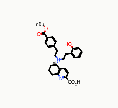 CCCCOC(=O)c1ccc(CCN(CCc2ccccc2O)[C@H]2CCCc3nc(C(=O)O)ccc32)cc1